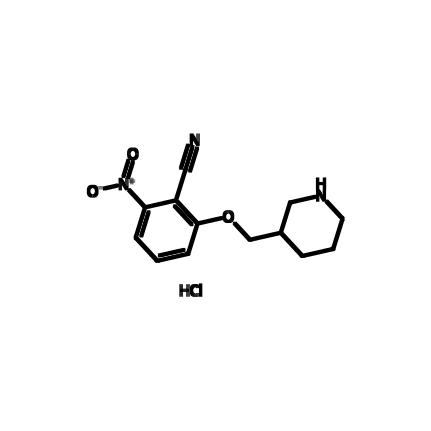 Cl.N#Cc1c(OCC2CCCNC2)cccc1[N+](=O)[O-]